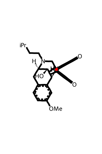 COc1ccc2c(c1)[C@]13CCN(CCC(C)C)[C@H](C2)[C@]1(O)CCNC(=O)NC(=O)C3